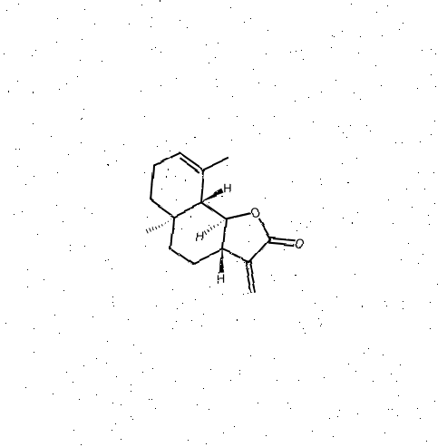 C=C1C(=O)O[C@@H]2[C@H]3C(C)=CCC[C@]3(C)CC[C@@H]12